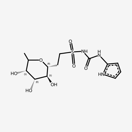 CC1O[C@H](CCS(=O)(=O)NC(=O)Nc2ccc[nH]2)[C@@H](O)[C@H](O)[C@@H]1O